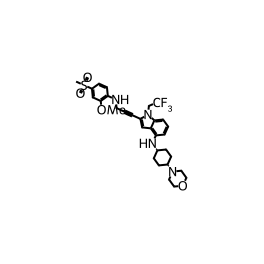 COc1cc(S(C)(=O)=O)ccc1NCC#Cc1cc2c(N[C@H]3CC[C@@H](N4CCOCC4)CC3)cccc2n1CC(F)(F)F